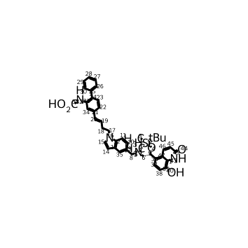 CC(C)(C)[Si](C)(C)O[C@@H](CNCc1ccc2c(ccn2CCC=Cc2ccc(-c3ccccc3)c(NC(=O)O)c2)c1)c1ccc(O)c2[nH]c(=O)ccc12